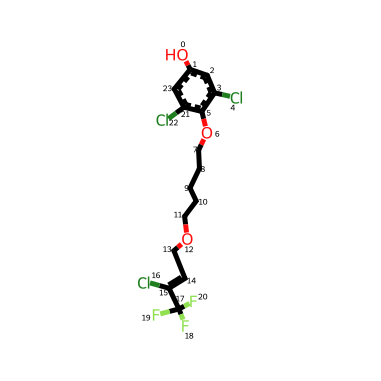 Oc1cc(Cl)c(OCCCCCOCC=C(Cl)C(F)(F)F)c(Cl)c1